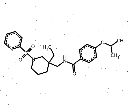 CCC1(CNC(=O)c2ccc(OC(C)C)cc2)CCCN(S(=O)(=O)c2ccccn2)C1